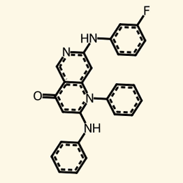 O=c1cc(Nc2ccccc2)n(-c2ccccc2)c2cc(Nc3cccc(F)c3)ncc12